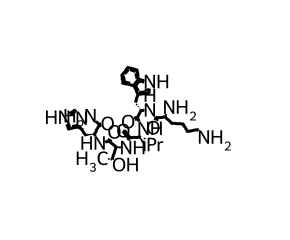 CC(C)[C@H](NC(=O)[C@H](Cc1c[nH]c2ccccc12)NC(=O)[C@@H](N)CCCCN)C(=O)N[C@H](C(=O)N[C@@H](Cc1c[nH]cn1)C(N)=O)[C@@H](C)O